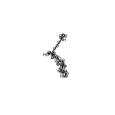 CC[C@H](C)[C@@H]([C@@H](CC(=O)N1CCC[C@H]1[C@H](OC)[C@@H](C)C(=O)N[C@H](C)[C@@H](OC(=O)[C@@H](NC(=O)[C@@H]1CCCN1C(=O)[C@H](CC(=O)O)NC(=O)CCOCCOCCOCCNC(=O)CN1C(=O)C=CC1=O)C(C)C)c1ccccc1)OC)N(C)C(=O)[C@@H](NC(=O)[C@@H](NC)C(C)C)C(C)C